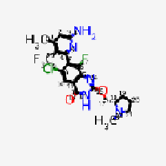 Cc1cc(N)nc(-c2c(Cl)cc3c(=O)[nH]c(OC[C@@H]4CCCN4C)nc3c2F)c1C(F)(F)F